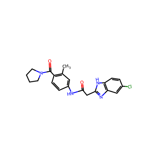 Cc1cc(NC(=O)Cc2nc3cc(Cl)ccc3[nH]2)ccc1C(=O)N1CCCC1